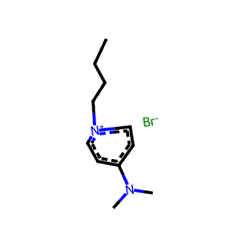 CCCC[n+]1ccc(N(C)C)cc1.[Br-]